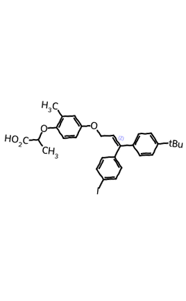 Cc1cc(OC/C=C(\c2ccc(I)cc2)c2ccc(C(C)(C)C)cc2)ccc1OC(C)C(=O)O